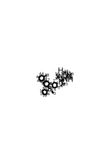 C#C[B-](c1ccccc1)(c1ccccc1)c1ccccc1.CC(C)N=C(NC(N(C)C)=[N+](C)C)NC(C)C.Cc1ccccc1